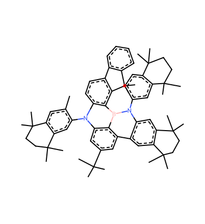 Cc1cc2c(cc1N1c3cc(C(C)(C)C)cc4c3B(c3c1ccc1c3C(C)(C)c3ccccc3-1)N(c1ccc3c(c1)C(C)(C)CCC3(C)C)c1cc3c(cc1-4)C(C)(C)CCC3(C)C)C(C)(C)CCC2(C)C